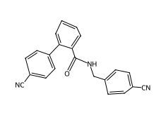 N#Cc1ccc(CNC(=O)c2ccccc2-c2ccc(C#N)cc2)cc1